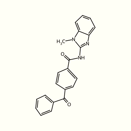 Cn1c(NC(=O)c2ccc(C(=O)c3ccccc3)cc2)nc2ccccc21